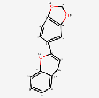 C1=C(c2ccc3c(c2)OCO3)Oc2ccccc2C1